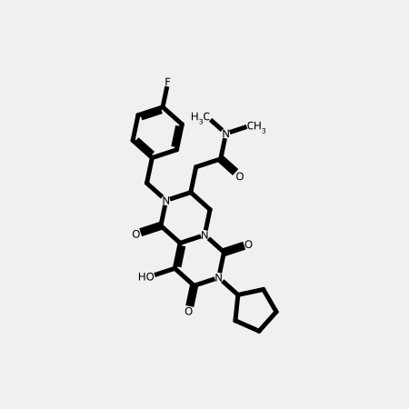 CN(C)C(=O)CC1Cn2c(c(O)c(=O)n(C3CCCC3)c2=O)C(=O)N1Cc1ccc(F)cc1